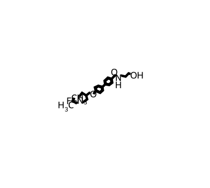 CC(C)(F)CN1CCC(COc2ccc(-c3ccc(C(=O)NCCCO)cc3)cc2)CC1